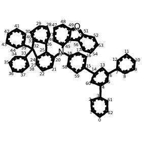 c1ccc(-c2cc(-c3ccccc3)cc(-c3ccc(N(c4cccc5c4-c4ccccc4C5(c4ccccc4)c4ccccc4)c4cccc5oc6ccccc6c45)cc3)c2)cc1